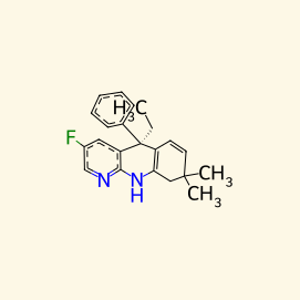 CC[C@]1(c2ccccc2)C2=C(CC(C)(C)C=C2)Nc2ncc(F)cc21